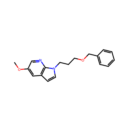 COc1cnc2c(ccn2CCCOCc2ccccc2)c1